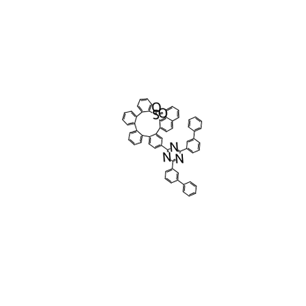 O=S1(=O)c2ccccc2-c2ccccc2-c2ccccc2-c2ccc(-c3nc(-c4cccc(-c5ccccc5)c4)nc(-c4cccc(-c5ccccc5)c4)n3)cc2-c2ccc3ccccc3c21